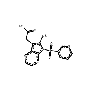 Cc1c(CC(=O)O)c2cccnc2n1S(=O)(=O)c1cccnc1